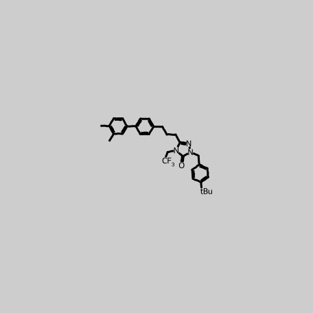 Cc1ccc(-c2ccc(CCCc3nn(Cc4ccc(C(C)(C)C)cc4)c(=O)n3CC(F)(F)F)cc2)cc1C